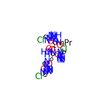 C=C(COC(=O)Nc1cc(C2CCC(C(=O)Nc3cccc(COc4nc5c(Cl)cccc5n4-c4nnnn4C)n3)C2)cc(COc2nc3c(Cl)cccc3n2-c2nnnn2C)n1)c1cc(COc2nc3c(Cl)cccc3n2-c2nnnn2C)nc(NC(=O)CCC)c1